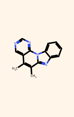 Cc1c(C)c2nc3ccccc3n2c2ncncc12